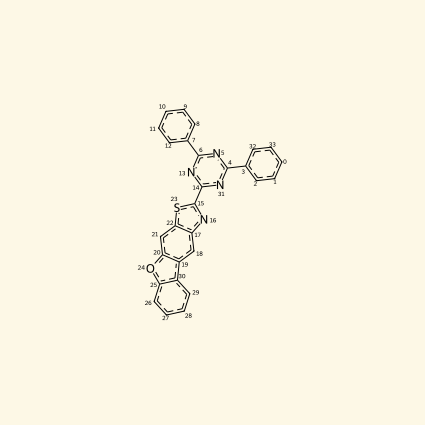 c1ccc(-c2nc(-c3ccccc3)nc(-c3nc4cc5c(cc4s3)oc3ccccc35)n2)cc1